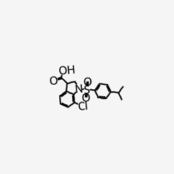 CC(C)c1ccc(S(=O)(=O)N2CC(C(=O)O)c3cccc(Cl)c32)cc1